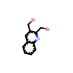 BrCc1cc2ccccc2nc1CBr